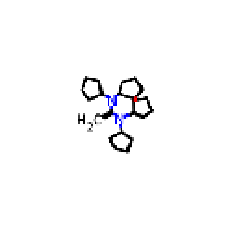 C=C(N(C1CCCC1)C1CCCC1)N(C1CCCC1)C1CCCC1